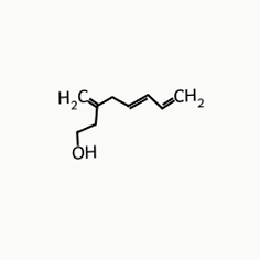 C=CC=CCC(=C)CCO